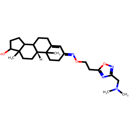 CN(C)Cc1noc(CCON=C2C=C3CCC4C5CCC(O)C5(C)CC[C@H]4C3(C)CC2)n1